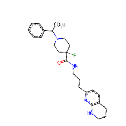 O=C(O)C(c1ccccc1)N1CCC(F)(C(=O)NCCCc2ccc3c(n2)NCCC3)CC1